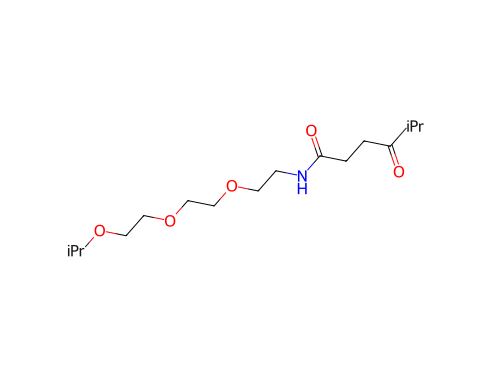 CC(C)OCCOCCOCCNC(=O)CCC(=O)C(C)C